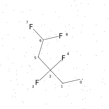 [CH2]CC(F)(F)CC(F)F